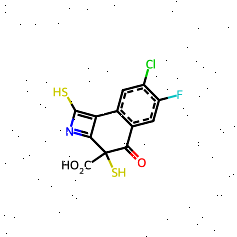 O=C(O)C1(S)C(=O)c2cc(F)c(Cl)cc2C2=C(S)N=C21